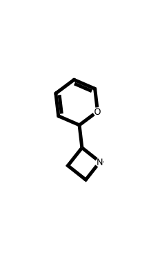 C1=COC(C2CC[N]2)C=C1